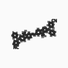 [C-]#[N+]c1ccc(N(c2ccccc2)c2ccc3c(c2)C(C)(C)c2cc(/C=C/c4ccc5c(c4)C(C)(C)c4cc(N(c6ccccc6)c6ccc(C#N)cc6)ccc4-5)ccc2-3)cc1